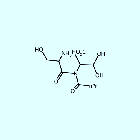 CCCC(=O)N(C(=O)C(N)CO)C(C(=O)O)C(O)O